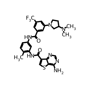 Cc1ccc(NC(=O)c2cc(N3CCC(N(C)C)C3)cc(C(F)(F)F)c2)cc1NC(=O)c1csc2c(N)ncnc12